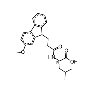 COc1ccc2c(c1)C(CCC(=O)N[C@@H](CC(C)C)C(=O)O)c1ccccc1-2